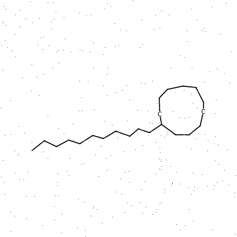 CCCCCCCCCCCC1CCCCCCCCCC1